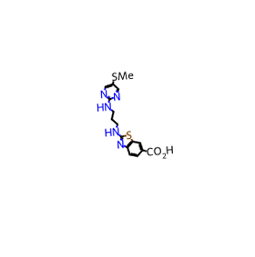 CSc1cnc(NCCCNc2nc3ccc(C(=O)O)cc3s2)nc1